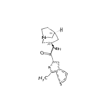 Cc1nc(C(=O)N[C@@H]2C[C@@H]3CCN(C3)C2)cc2ccsc12